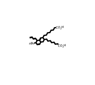 C=CC=CC1C2=CC(CCCCCCCC(=O)O)C(CCCCCCCC(=O)O)CC2C=CC1CCCC